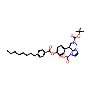 CCCCCCCCc1ccc(C(=O)Oc2ccc(C(CN(C)C(=O)OC(C)(C)C)c3nccn3C(=O)O)cc2)cc1